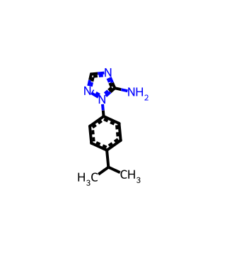 CC(C)c1ccc(-n2ncnc2N)cc1